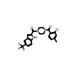 Cc1ccc(C(=O)N2CCN(C(=O)c3cc4cc(C(F)(F)F)ccc4[nH]3)CC2)c(Cl)c1